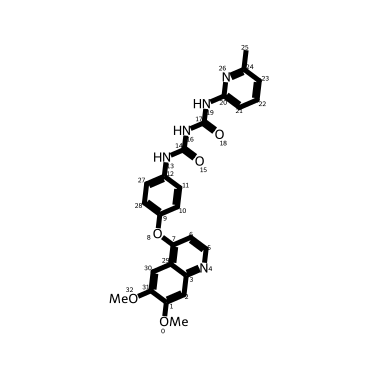 COc1cc2nccc(Oc3ccc(NC(=O)NC(=O)Nc4cccc(C)n4)cc3)c2cc1OC